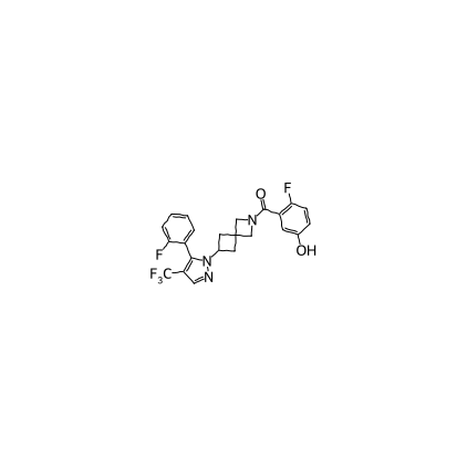 O=C(c1cc(O)ccc1F)N1CC2(CC(n3ncc(C(F)(F)F)c3-c3ccccc3F)C2)C1